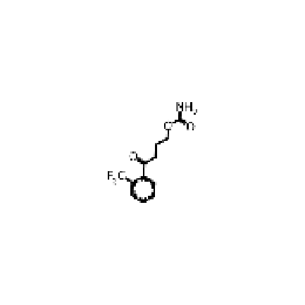 NC(=O)OCCCC(=O)c1ccccc1C(F)(F)F